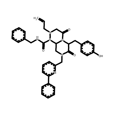 C=CCN1CC(=O)N2C(Cc3ccc(O)cc3)C(=O)N(Cc3cccc(-c4ccccc4)n3)CC2N1C(=O)NCc1ccccc1